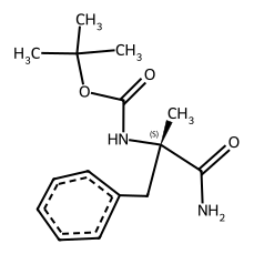 CC(C)(C)OC(=O)N[C@@](C)(Cc1ccccc1)C(N)=O